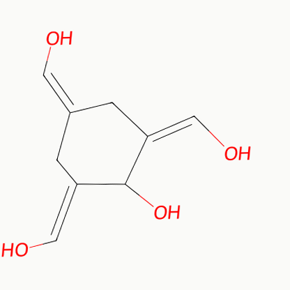 OC=C1CC(=CO)C(O)C(=CO)C1